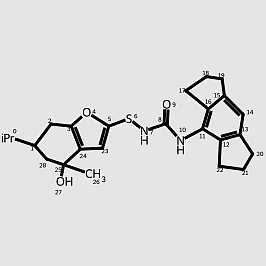 CC(C)C1Cc2oc(SNC(=O)Nc3c4c(cc5c3CCC5)CCC4)cc2C(C)(O)C1